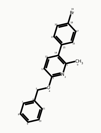 Cc1nc(OCc2ccccc2)ccc1-c1ccc(Br)cc1